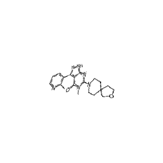 Cc1ncccc1-c1n[nH]c2nc(N3CCC4(CCOC4)CC3)n(C)c(=O)c12